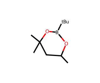 CC1CC(C)(C)OB(C(C)(C)C)O1